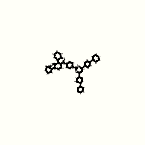 c1ccc(-c2ccc(-c3cc(-c4ccc(-c5ccccc5)cc4)nc(-c4ccc(-c5nc6ccccc6c6c5ccc5c7ccccc7oc56)cc4)n3)cc2)cc1